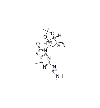 C=C[C@H]1CC(n2c(=O)sc3c(C)nc(/N=C/NC)nc32)[C@@H]2OC(C)(C)O[C@H]12